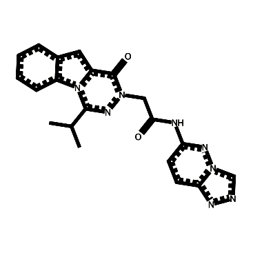 CC(C)c1nn(CC(=O)Nc2ccc3nncn3n2)c(=O)c2cc3ccccc3n12